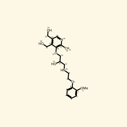 COc1ccccc1OCCNCC(O)COc1c(C)ncc(CO)c1CO